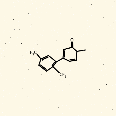 CC1C=CC(c2cc(C(F)(F)F)ccc2C(F)(F)F)=CC1=O